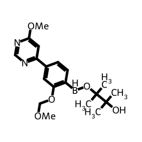 COCOc1cc(-c2cc(OC)ncn2)ccc1BOC(C)(C)C(C)(C)O